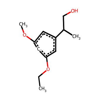 CCOc1cc(OC)cc([C](C)CO)c1